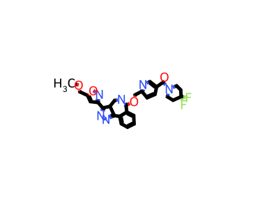 COCc1cc(C2=NN=C3c4ccccc4C(OCc4ccc(C(=O)N5CCC(F)(F)CC5)cn4)=NCC23)no1